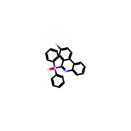 O=P(c1ccccc1)(c1ccccc1)c1nc2ccccc2c2ccc(F)cc12